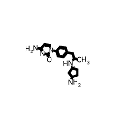 CC(Cc1ccc(-n2ccc(N)nc2=O)cc1)N[C@H]1CCC(N)C1